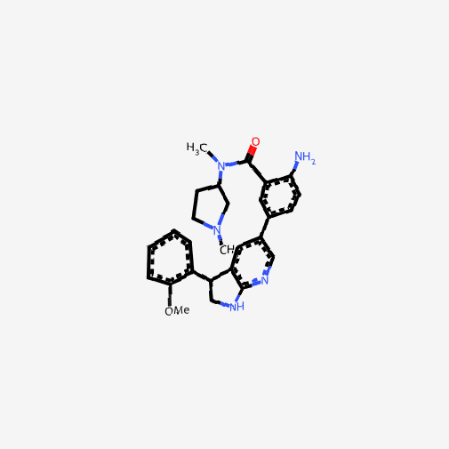 COc1ccccc1C1CNc2ncc(-c3ccc(N)c(C(=O)N(C)C4CCN(C)C4)c3)cc21